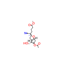 COC(=O)CCC/C(C#N)=C1/C[C@@H]2[C@@H](CO)[C@H](OC(C)=O)C[C@@H]2O1